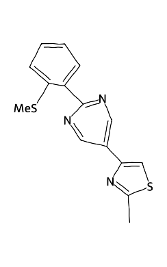 CSc1ccccc1-c1ncc(-c2csc(C)n2)cn1